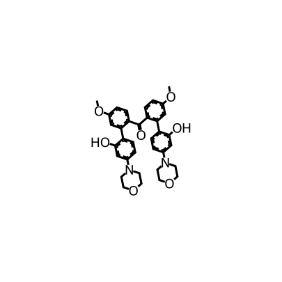 COc1ccc(C(=O)c2ccc(OC)cc2-c2ccc(N3CCOCC3)cc2O)c(-c2ccc(N3CCOCC3)cc2O)c1